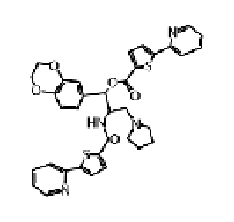 O=C(N[C@H](CN1CCCC1)[C@H](OC(=O)c1ccc(-c2ccccn2)s1)c1ccc2c(c1)OCCO2)c1ccc(-c2ccccn2)s1